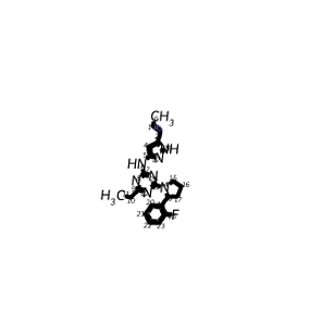 C/C=C/c1cc(Nc2nc(CC)nc(N3CCCC3c3ccccc3F)n2)n[nH]1